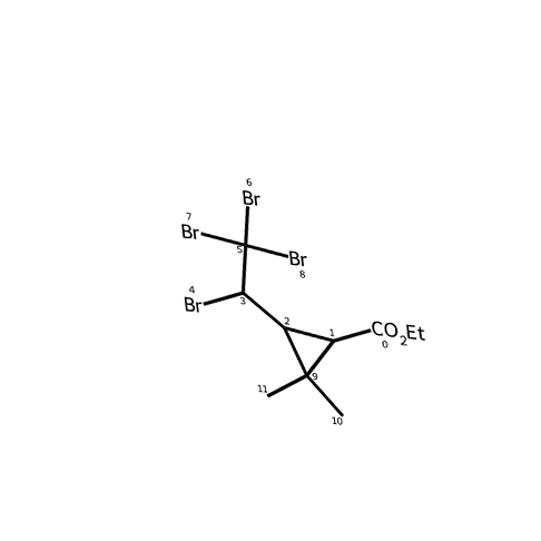 CCOC(=O)C1C(C(Br)C(Br)(Br)Br)C1(C)C